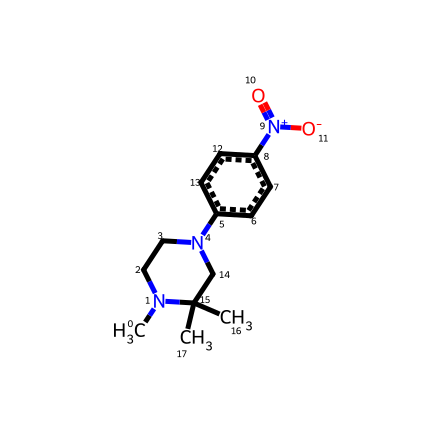 CN1CCN(c2ccc([N+](=O)[O-])cc2)CC1(C)C